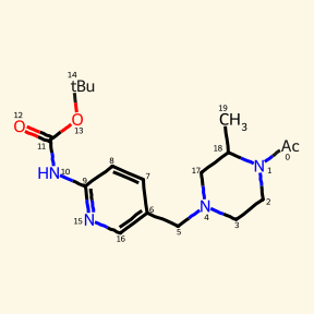 CC(=O)N1CCN(Cc2ccc(NC(=O)OC(C)(C)C)nc2)CC1C